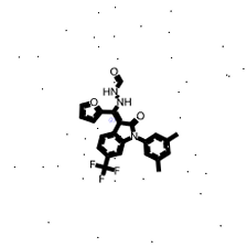 Cc1cc(C)cc(N2C(=O)/C(=C(\NNC=O)c3ccco3)c3ccc(C(F)(F)F)cc32)c1